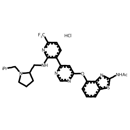 CC(=O)Nc1nc2c(Oc3cc(-c4ccc(C(F)(F)F)nc4NCC4CCCN4CC(C)C)ncn3)cccc2s1.Cl